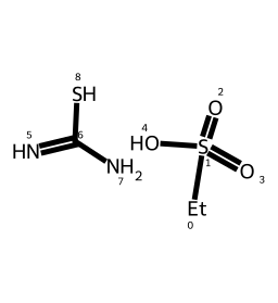 CCS(=O)(=O)O.N=C(N)S